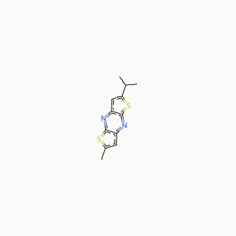 Cc1cc2nc3sc(C(C)C)cc3nc2s1